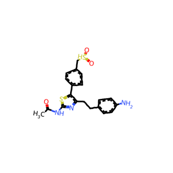 CC(=O)Nc1nc(CCc2ccc(N)cc2)c(-c2ccc(C[SH](=O)=O)cc2)s1